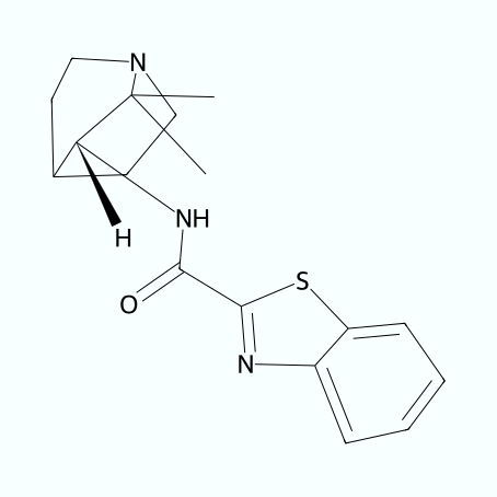 CC1(C)[C@H](NC(=O)c2nc3ccccc3s2)C2CCN1CC2